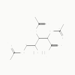 CC(=O)OCC(O)C(OC(C)=O)C(OC(C)=O)C(=O)O